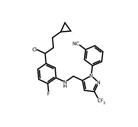 N#Cc1cccc(-n2nc(C(F)(F)F)cc2CNc2cc(C(Cl)CCC3CC3)ccc2F)c1